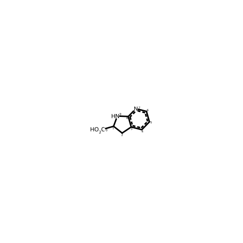 O=C(O)C1Cc2cccnc2N1